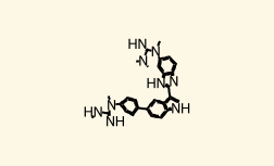 CNC(=N)N(C)c1ccc(-c2ccc3[nH]cc(-c4nc5ccc(N(C)C(=N)N(C)C)cc5[nH]4)c3c2)cc1